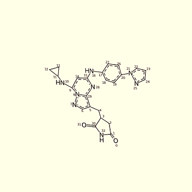 O=C1CC(Cc2cnn3c(NC4CC4)cc(Nc4ccc(-n5cccn5)cc4)nc23)C(=O)N1